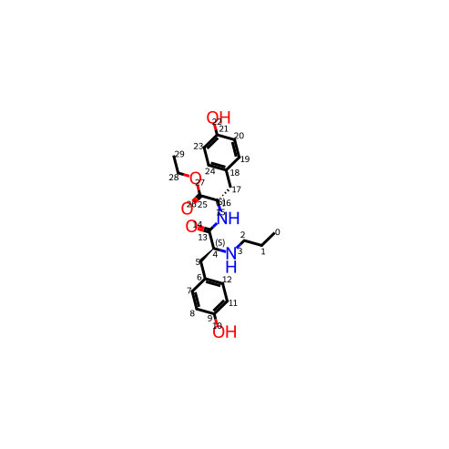 CCCN[C@@H](Cc1ccc(O)cc1)C(=O)N[C@@H](Cc1ccc(O)cc1)C(=O)OCC